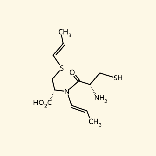 CC=CN(C(=O)[C@@H](N)CS)[C@@H](CS/C=C/C)C(=O)O